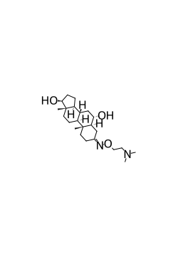 CN(C)CCO/N=C1/CC[C@@]2(C)[C@H](C1)[C@@H](O)C[C@@H]1[C@@H]2CC[C@]2(C)[C@@H](O)CC[C@@H]12